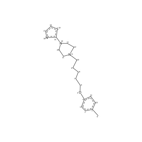 Cc1ccc(OCCCCCN2CCN(c3nccs3)CC2)cc1